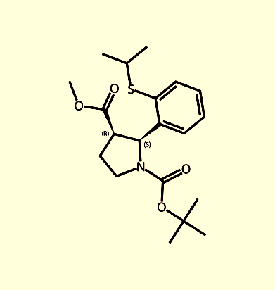 COC(=O)[C@@H]1CCN(C(=O)OC(C)(C)C)[C@@H]1c1ccccc1SC(C)C